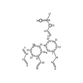 C=CC=C.C=CCc1ccccc1.C=COC(C)=O.C=Cc1ccccc1